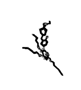 CCCCOC[C@@]12C[C@@H]1[C@H](OCCCC)[C@@H](OCCCC)[C@H](c1ccc(Cl)c(Cc3ccc(OCC)cc3)c1)O2